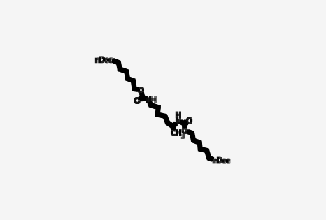 CCCCCCCCCCCCCCCCOC(=O)NCCCCCC(C)NC(=O)OCCCCCCCCCCCCCCCC